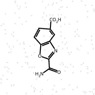 NC(=O)c1nc2cc(C(=O)O)ccc2o1